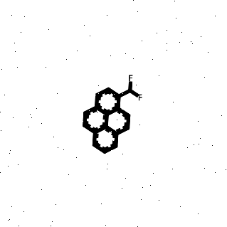 FC(F)c1ccc2ccc3cccc4ccc1c2c34